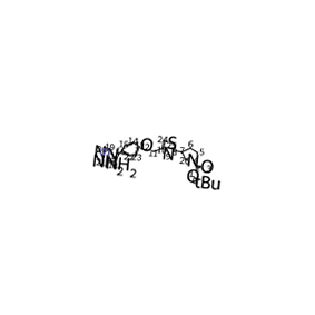 CC(C)(C)OC(=O)N1CCC(c2nc(COc3ccc(N(N)/C=N\N)cc3)cs2)C1